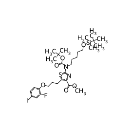 COC(=O)c1nc(N(CCCCCO[Si](C)(C)C(C)(C)C)C(=O)OC(C)(C)C)sc1CCCOc1ccc(I)cc1F